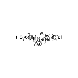 CC(C)(C)c1cc(-c2ccc(Cl)cc2)nc2cc(C(=O)N3CCN(c4nc(C(=O)O)cs4)CC3(C)C)oc12